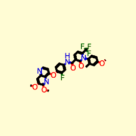 COc1ccc(-n2c(C(F)(F)F)ccc(C(=O)Nc3ccc(Oc4ccnc5cc(OC)c(OC)nc45)c(F)c3)c2=O)c(C)c1